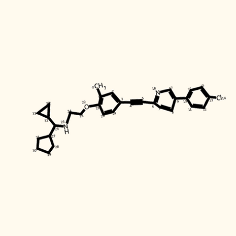 Cc1cc(C#Cc2ccc(-c3ccc(Cl)cc3)cn2)ccc1OCCNC(C1CCCC1)C1CC1